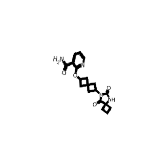 NC(=O)c1cccnc1OC1CC2(C1)CC(N1C(=O)NC3(CCC3)C1=O)C2